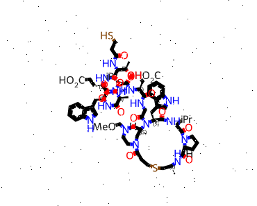 COCN1CCN2C[C@H](C1)N(C(=O)CNC(=O)[C@H](CC(=O)O)NC(=O)C(NC(=O)[C@H](Cc1c[nH]c3ccccc13)NC(=O)[C@H](C)NC(=O)[C@H](CCC(=O)O)NC(=O)C(NC(=O)CCS)[C@@H](C)O)C(C)C)[C@@H](Cc1c[nH]c3ccccc13)C(=O)NC(C(C)C)C(=O)N1CCC[C@H]1C(=O)N[C@H](C)CSCCC2=O